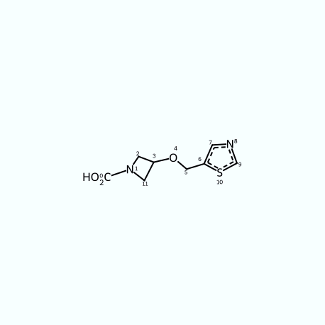 O=C(O)N1CC(OCc2cncs2)C1